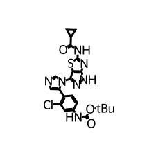 CC(C)(C)OC(=O)Nc1ccc(-c2cncn2-c2n[nH]c3nc(NC(=O)C4CC4)sc23)c(Cl)c1